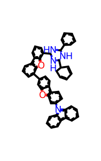 C1=CCC(C2NC(c3ccccc3)NC(c3cccc4c3oc3c(-c5ccc6c(c5)oc5cc(-n7c8ccccc8c8ccccc87)ccc56)cccc34)N2)C=C1